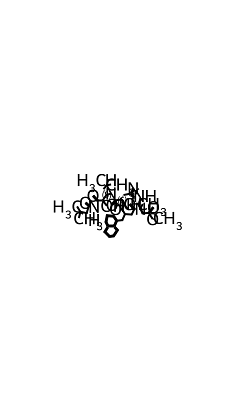 COC(=O)CN(C)C(=O)CC(Cc1cccc2ccccc12)C(=O)N[C@@H](Cc1c[nH]cn1)C(=O)N[C@@H](CC(C)C)C(O)C(=O)NC(=O)CC(C)C